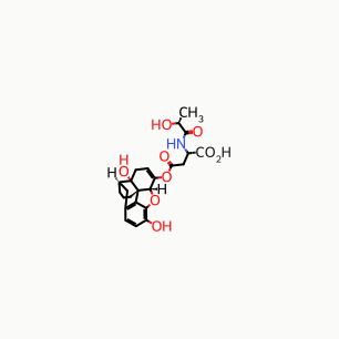 C[C@H](O)C(=O)NC(CC(=O)OC1=CC[C@@]2(O)[C@@H]3CCC[C@@]24c2c(ccc(O)c2O[C@@H]14)C3)C(=O)O